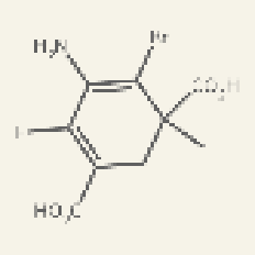 CC1(C(=O)O)CC(C(=O)O)=C(F)C(N)=C1Br